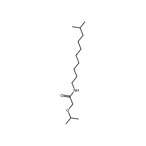 CC(C)CCCCCCCCNC(=O)COC(C)C